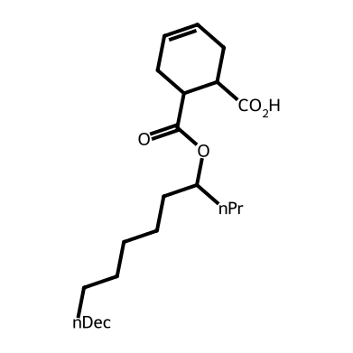 CCCCCCCCCCCCCCCC(CCC)OC(=O)C1CC=CCC1C(=O)O